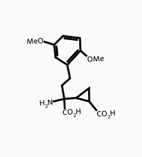 COc1ccc(OC)c(CCC(N)(C(=O)O)C2CC2C(=O)O)c1